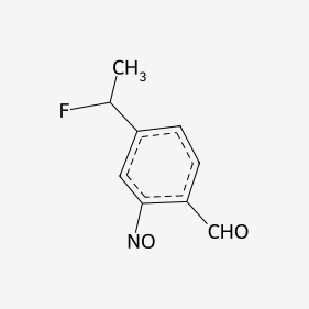 CC(F)c1ccc(C=O)c(N=O)c1